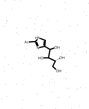 CC(=O)c1nc(C(O)C(O)[C@H](O)CO)c[nH]1